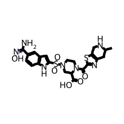 CC1Cc2nc(C(=O)N3CCN(S(=O)(=O)c4cc5cc(/C(N)=N\O)ccc5[nH]4)CC3C(=O)O)sc2CN1